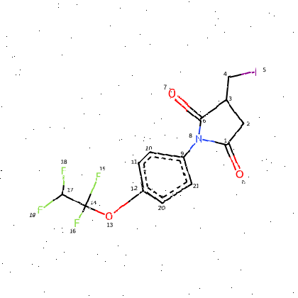 O=C1CC(CI)C(=O)N1c1ccc(OC(F)(F)C(F)F)cc1